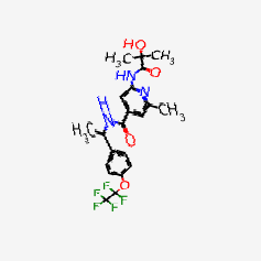 Cc1cc(C(=O)NC(C)c2ccc(OC(F)(F)C(F)(F)F)cc2)cc(NC(=O)C(C)(C)O)n1